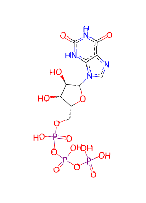 O=c1[nH]c(=O)c2ncn(C3O[C@H](COP(=O)(O)OP(=O)(O)OP(=O)(O)O)[C@@H](O)[C@H]3O)c2[nH]1